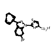 O=C(O)c1csc(-n2nc(-c3ccccc3)c3ccc(Br)cc32)n1